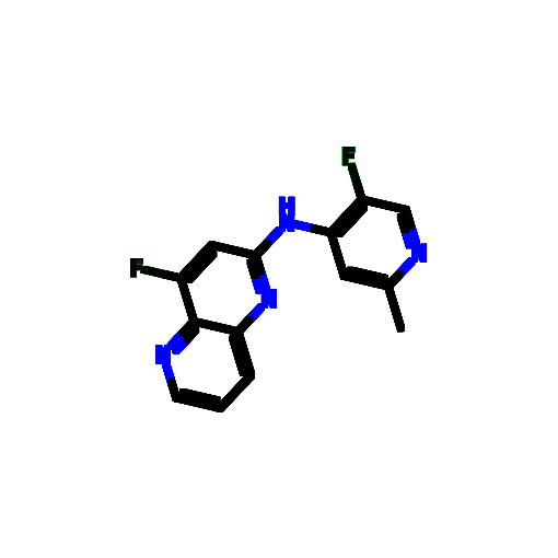 Cc1cc(Nc2cc(F)c3ncccc3n2)c(F)cn1